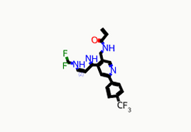 C=CC(=O)NCc1cnc(-c2ccc(C(F)(F)F)cc2)cc1C(=N)/C=C\NC(F)F